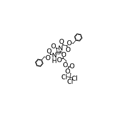 O=C(COC(=O)OCC(Cl)(Cl)Cl)O[C@@H]1[C@H](NC(=O)OCc2ccccc2)C(=O)N1C(=O)C(=O)OCc1ccccc1